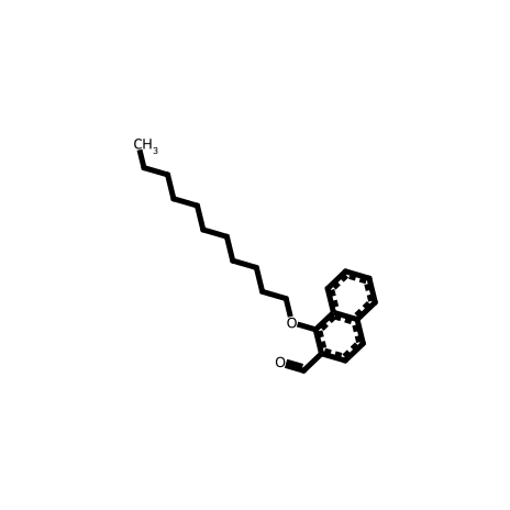 CCCCCCCCCCCOc1c(C=O)ccc2ccccc12